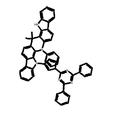 CC1(C)c2ccc3c4ccccc4n(C4=CC(c5nc(-c6ccccc6)nc(-c6ccccc6)n5)C=C4)c3c2N(c2ccccc2)c2ccc3c([nH]c4ccccc43)c21